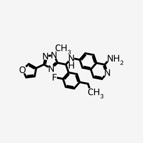 CCc1ccc(F)c(C(Nc2ccc3c(N)nccc3c2)c2nc(-c3ccoc3)nn2C)c1